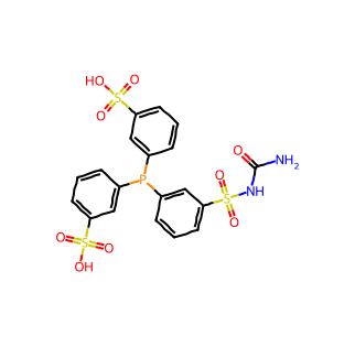 NC(=O)NS(=O)(=O)c1cccc(P(c2cccc(S(=O)(=O)O)c2)c2cccc(S(=O)(=O)O)c2)c1